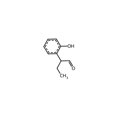 CCC(C=O)c1ccccc1O